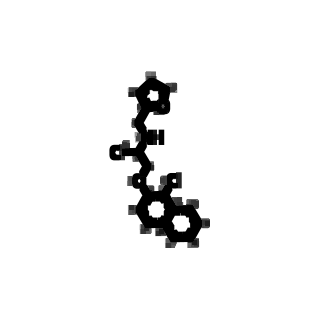 Clc1c(OCC(Cl)NCc2ccco2)ccc2ccccc12